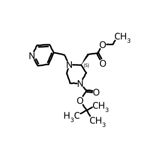 CCOC(=O)C[C@H]1CN(C(=O)OC(C)(C)C)CCN1Cc1ccncc1